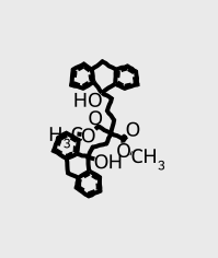 COC(=O)C(CCCC1(O)c2ccccc2Cc2ccccc21)(CCC1(O)c2ccccc2Cc2ccccc21)C(=O)OC